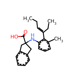 CCC=C(CC)c1c(C)cccc1NC1(C(=O)O)Cc2ccccc2C1